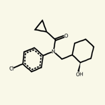 O=C(C1CC1)N(CC1CCCC[C@H]1O)c1ccc(Cl)cc1